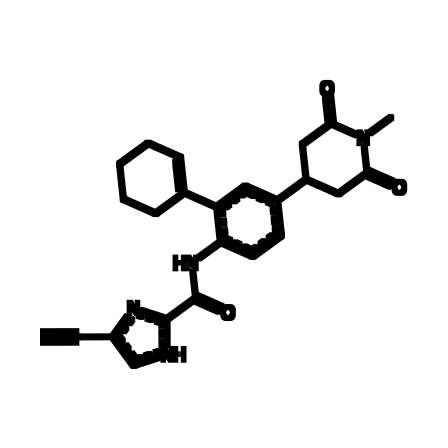 C#Cc1c[nH]c(C(=O)Nc2ccc(C3CC(=O)N(C)C(=O)C3)cc2C2=CCCCC2)n1